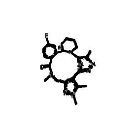 Cc1nnc2nc1N1CCCC[C@@H]1c1cc(F)ccc1C(=O)N(C)Cc1nn(C)c(C)c1-2